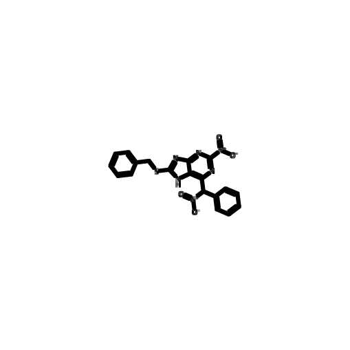 O=[N+]([O-])c1nc(C(c2ccccc2)[N+](=O)[O-])c2[nH]c(SCc3ccccc3)nc2n1